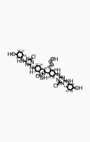 O=S(=O)(O)c1cc(Nc2nc(Cl)nc(Nc3cccc(O)c3)n2)ccc1/C=C/c1ccc(Nc2nc(Cl)nc(Nc3cccc(O)c3)n2)cc1SOOO